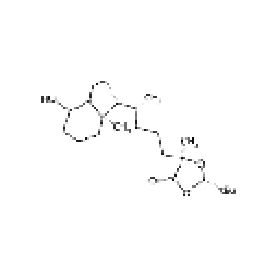 C[C@H](CCC[C@@]1(C)O[C@H](C(C)(C)C)OC1=O)[C@H]1CCC2C(O)CCC[C@@]21C